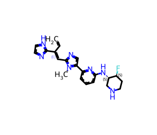 C=C/C(=C\c1ncc(-c2cccc(N[C@H]3CNCC[C@@H]3F)n2)n1C)c1ncc[nH]1